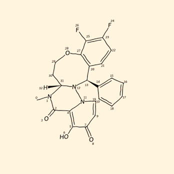 CN1C(=O)c2c(O)c(=O)ccn2N2[C@H](c3ccccc3)c3ccc(F)c(F)c3OCC[C@@H]12